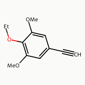 C#Cc1cc(OC)c(OCC)c(OC)c1